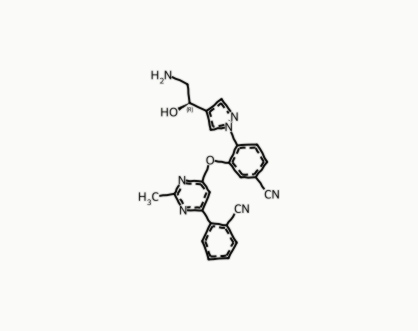 Cc1nc(Oc2cc(C#N)ccc2-n2cc([C@@H](O)CN)cn2)cc(-c2ccccc2C#N)n1